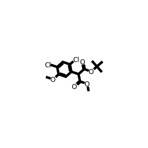 COC(=O)C(C(=O)OC(C)(C)C)c1cc(OC)c(Cl)cc1Cl